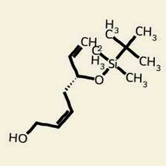 C=C[C@@H](C/C=C\CO)O[Si](C)(C)C(C)(C)C